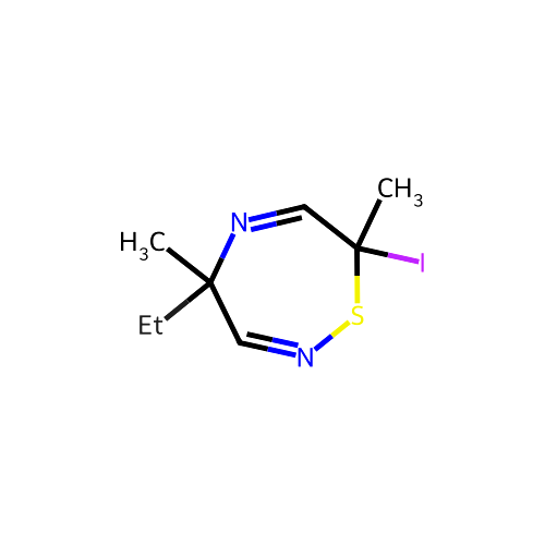 CCC1(C)C=NSC(C)(I)C=N1